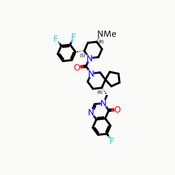 CN[C@@H]1CCN(C(=O)N2CC[C@@H](Cn3cnc4ccc(F)cc4c3=O)C3(CCCC3)C2)[C@H](c2cccc(F)c2F)C1